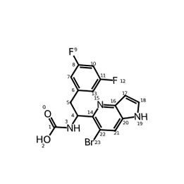 O=C(O)NC(Cc1cc(F)cc(F)c1)c1nc2cc[nH]c2cc1Br